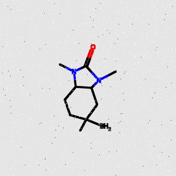 BC1(C)CCC2C(C1)N(C)C(=O)N2C